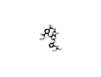 Cc1nc2c(Oc3cc(C(=N)N)ccc3C(=O)OC(C)(C)C)nc(Oc3ccccc3NC(=N)N)nc2[nH]1